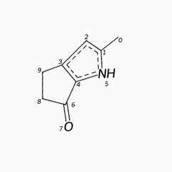 Cc1cc2c([nH]1)C(=O)CC2